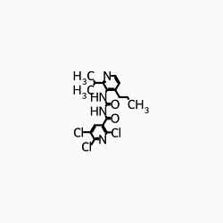 CCCc1ccnc(C(C)C)c1NC(=O)NC(=O)c1cc(Cl)c(Cl)nc1Cl